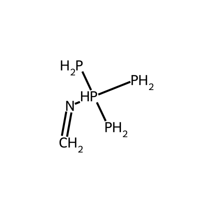 C=N[PH](P)(P)P